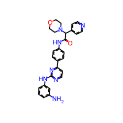 Nc1cccc(Nc2nccc(-c3ccc(NC(=O)C(c4ccncc4)N4CCOCC4)cc3)n2)c1